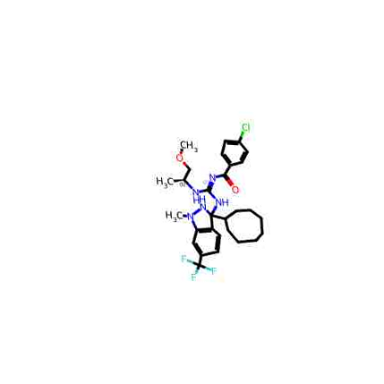 COC[C@H](C)N/C(=N/C(=O)c1ccc(Cl)cc1)NC1(C2CCCCCCC2)NN(C)c2cc(C(F)(F)F)ccc21